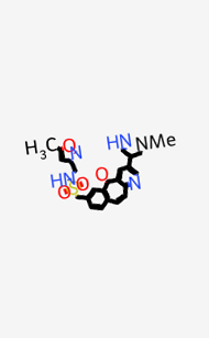 CNCC(C=N)c1cnc2ccc3ccc(CS(=O)(=O)NCc4cc(C)on4)cc3c(=O)c2c1